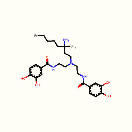 CC(C)CCCCC(C)(N)CCN(CCNC(=O)c1ccc(O)c(O)c1)CCNC(=O)c1ccc(O)c(O)c1